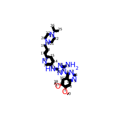 COc1cc2ncnc(-n3nc(Nc4ccc(C=CCN5CCN(C(C)C)CC5)nc4)nc3N)c2cc1OC